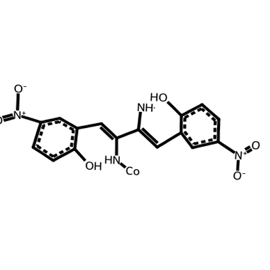 [NH]C(=Cc1cc([N+](=O)[O-])ccc1O)C(=Cc1cc([N+](=O)[O-])ccc1O)[NH][Co]